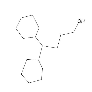 OCCCC(C1CCCCC1)C1CCCCC1